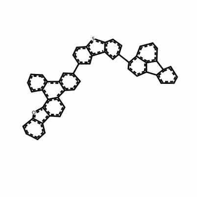 c1ccc2c(c1)-c1cccc3c(-c4ccc5sc6ccc(-c7ccc8c(c7)c7ccccc7c7c8ccc8c9ccccc9oc87)cc6c5c4)ccc-2c13